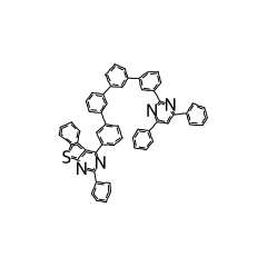 c1ccc(-c2cc(-c3ccccc3)nc(-c3cccc(-c4cccc(-c5cccc(-c6cccc(-c7nc(-c8ccccc8)nc8sc9ccccc9c78)c6)c5)c4)c3)n2)cc1